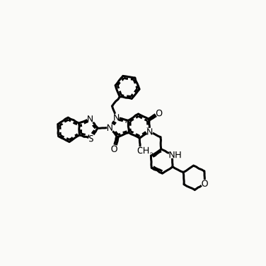 Cc1c2c(=O)n(-c3nc4ccccc4s3)n(Cc3ccccc3)c2cc(=O)n1CC1=CC=CC(C2CCOCC2)N1